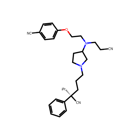 CC(C)[C@@](C#N)(CCCN1CCC(N(CCC#N)CCOc2ccc(C#N)cc2)C1)c1ccccc1